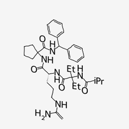 C=C(N)NCCC[C@@H](NC(=O)C(CC)(CC)NC(=O)C(C)C)C(=O)NC1(C(=O)NC(c2ccccc2)c2ccccc2)CCCC1